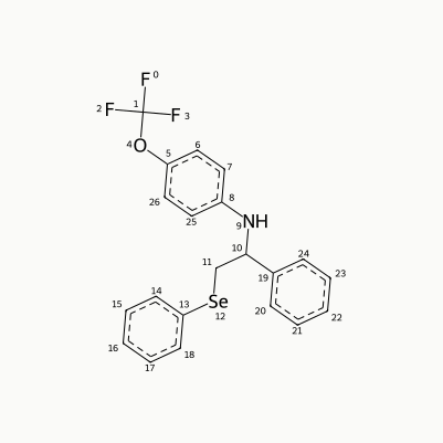 FC(F)(F)Oc1ccc(NC(C[Se]c2ccccc2)c2ccccc2)cc1